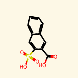 O=C(O)c1[c]c2ccccc2cc1S(=O)(=O)O